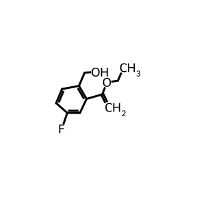 C=C(OCC)c1cc(F)ccc1CO